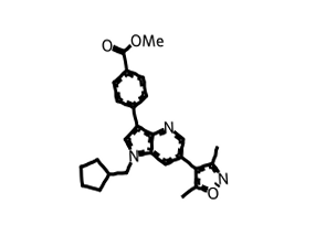 COC(=O)c1ccc(-c2cn(CC3CCCC3)c3cc(-c4c(C)noc4C)cnc23)cc1